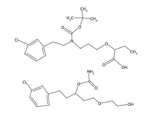 CCC(OCCCN(CCc1cccc(Cl)c1)C(=O)OC(C)(C)C)C(=O)O.NC(=O)OC(CCOCCO)CCc1cccc(Cl)c1